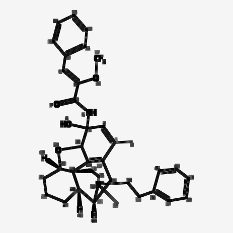 CC1=CC(O)(NC(=O)C(=Cc2ccccc2)OC(F)(F)F)C2O[C@H]3CCC[C@H]4[C@H]5CC1=C2[C@@]34CC[N+]5(C)CCc1ccccc1